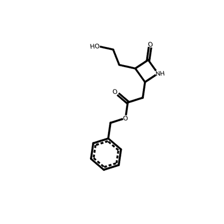 O=C(CC1NC(=O)C1CCO)OCc1ccccc1